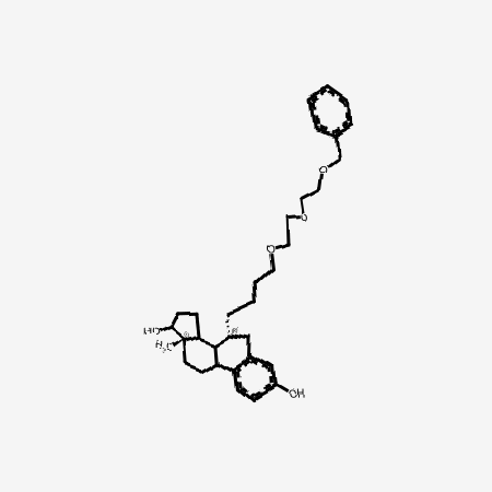 C[C@]12CCC3c4ccc(O)cc4C[C@@H](CCCCOCCOCCOCc4ccccc4)C3C1CCC2O